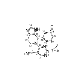 N#Cc1cnc(C2CC2)nc1N1CCc2nc[nH]c2C1c1cccc(F)c1